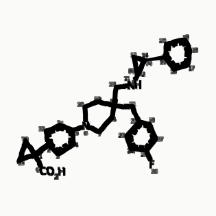 O=C(O)C1(c2ccc(N3CCC(CN[C@@H]4C[C@H]4c4ccccc4)(Cc4ccc(F)cc4)CC3)cc2)CC1